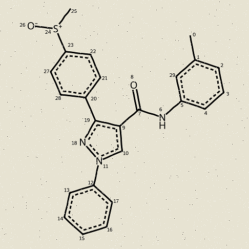 Cc1cccc(NC(=O)c2cn(-c3ccccc3)nc2-c2ccc([S+](C)[O-])cc2)c1